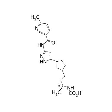 Cc1ccc(C(=O)Nc2cc(C3CCC(CC[C@H](C)NC(=O)O)C3)[nH]n2)cn1